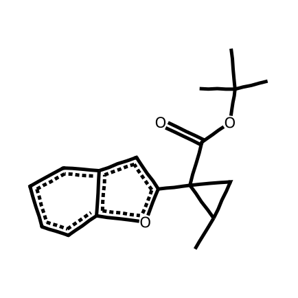 CC1CC1(C(=O)OC(C)(C)C)c1cc2ccccc2o1